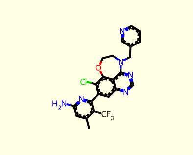 Cc1cc(N)nc(-c2cc3ncnc4c3c(c2Cl)OCCN4Cc2cccnc2)c1C(F)(F)F